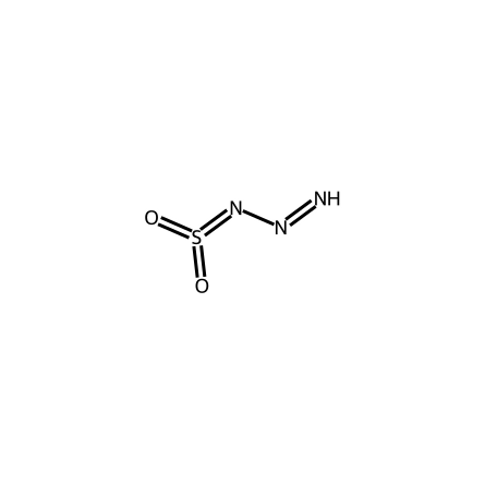 N=NN=S(=O)=O